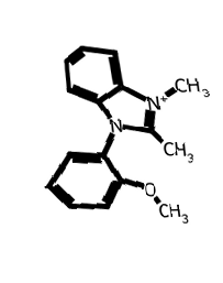 COc1ccccc1-n1c(C)[n+](C)c2ccccc21